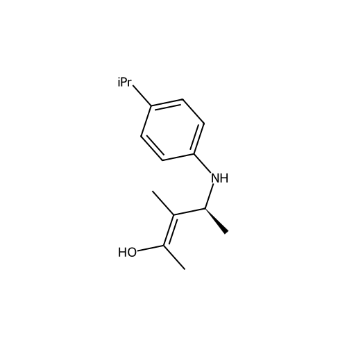 C/C(O)=C(/C)[C@H](C)Nc1ccc(C(C)C)cc1